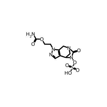 NC(=O)OCCn1ncc2c1CN1CC2N(OS(=O)(=O)O)C1=O